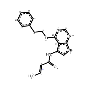 C/C=C/C(=O)Nc1c[nH]c2ncnc(OCCc3ccccc3)c12